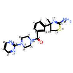 CC1(c2cccc(C(=O)N3CCN(c4ncccn4)CC3)c2)CCSC(N)=N1